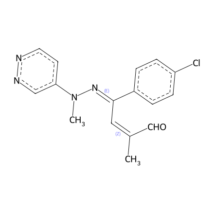 C/C(C=O)=C/C(=N\N(C)c1ccnnc1)c1ccc(Cl)cc1